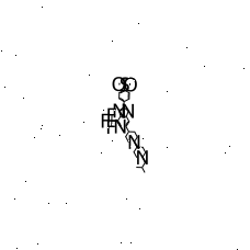 CC(C)CN1CCC(N2CCC(c3cc4c(nc(-c5ccc(S(C)(=O)=O)cc5)n4C)c(C(F)(F)F)n3)CC2)CC1